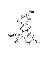 COC(=O)[C@H]1c2ccc(F)cc2C(=O)N1Cc1ccc(OC)cc1